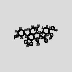 COc1ccc2c(c1OC)C(=O)O[C@@H]2[C@H]1c2c(c(-c3cccc(F)c3)c3c(c2OC)OCO3)CCN1C